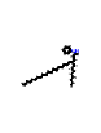 CCCCCCCCCCCCCCCCCCCC(CCCCCCCC)CCC(C)Nc1ccccc1